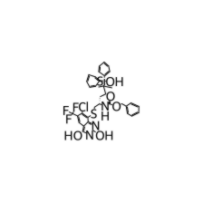 CC(C)(CC[C@@H](CSc1c(Cl)c(C(F)(F)F)cc2c(O)nc(O)nc12)NC(=O)OCc1ccccc1)[Si](O)(c1ccccc1)c1ccccc1